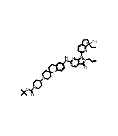 C=CCn1c(=O)c2cnc(Nc3ccc4c(c3)CCC3(CCN(C5CCN(C(=O)OC(C)(C)C)CC5)CC3)O4)nc2n1-c1ccc2c(n1)[C@@](O)(CC)CC2